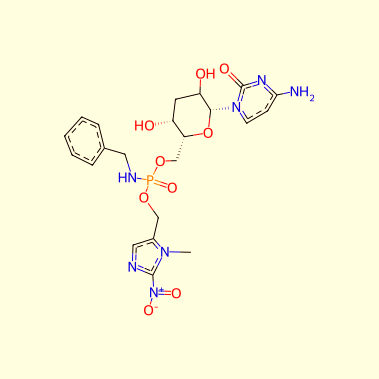 Cn1c(COP(=O)(NCc2ccccc2)OC[C@H]2O[C@@H](n3ccc(N)nc3=O)C(O)C[C@H]2O)cnc1[N+](=O)[O-]